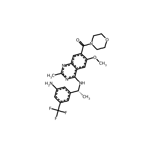 COc1cc2c(N[C@H](C)c3cc(N)cc(C(F)(F)F)c3)nc(C)nc2cc1C(=O)N1CCOCC1